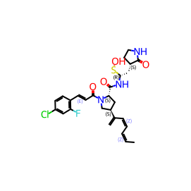 C=C(/C=C\C=C/C)[C@@H]1C[C@@H](C(=O)N[C@@H](C[C@@H]2CCNC2=O)SO)N(C(=O)/C=C/c2ccc(Cl)cc2F)C1